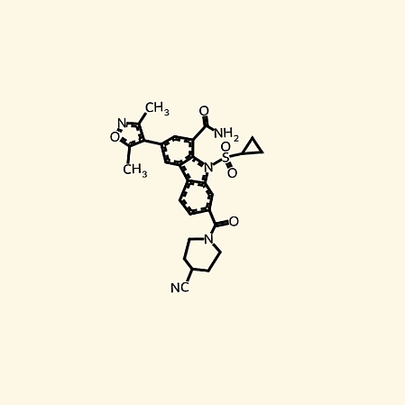 Cc1noc(C)c1-c1cc(C(N)=O)c2c(c1)c1ccc(C(=O)N3CCC(C#N)CC3)cc1n2S(=O)(=O)C1CC1